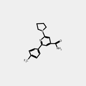 NC(=O)c1cc(-c2ccc(C(F)(F)F)cc2)nc(N2CCCC2)c1